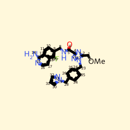 COCc1nc(C(=O)NCc2ccc3c(N)nccc3c2F)nn1Cc1ccc(Cn2cccn2)cc1